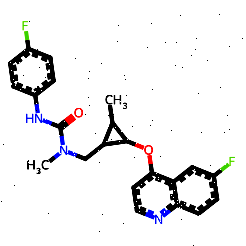 CC1C(CN(C)C(=O)Nc2ccc(F)cc2)C1Oc1ccnc2ccc(F)cc12